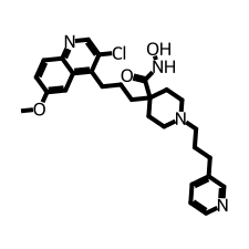 COc1ccc2ncc(Cl)c(CCCC3(C(=O)NO)CCN(CCCc4cccnc4)CC3)c2c1